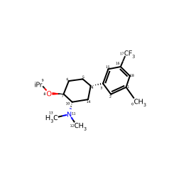 Cc1cc([C@H]2CC[C@H](OC(C)C)[C@@H](N(C)C)C2)cc(C(F)(F)F)c1